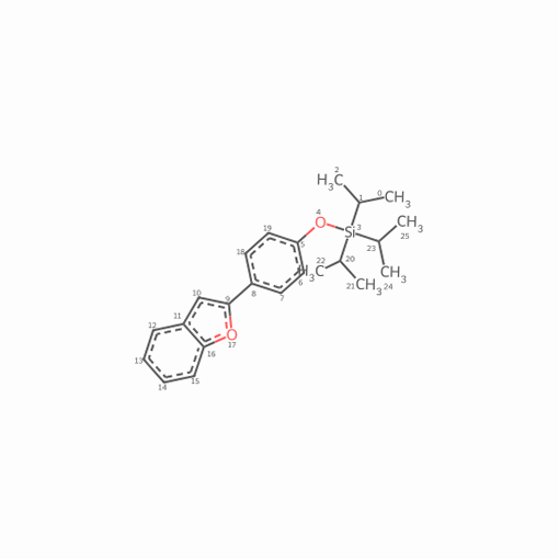 CC(C)[Si](Oc1ccc(-c2cc3ccccc3o2)cc1)(C(C)C)C(C)C